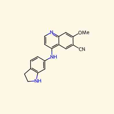 COc1cc2nccc(Nc3ccc4c(c3)NCC4)c2cc1C#N